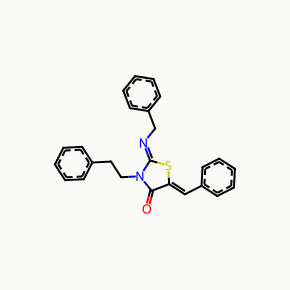 O=C1C(=Cc2ccccc2)SC(=NCc2ccccc2)N1CCc1ccccc1